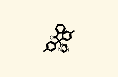 Cc1ccc(C(C(=O)c2ccccc2)(c2ccc(C)cc2)n2cncn2)cc1